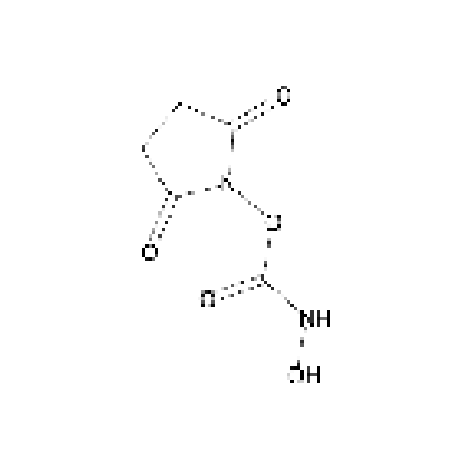 O=C(NO)ON1C(=O)CCC1=O